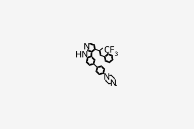 CC(=Cc1ccccc1C(F)(F)F)c1ccnc2[nH]c3ccc(-c4ccc(N5CCN(C)CC5)cc4)cc3c12